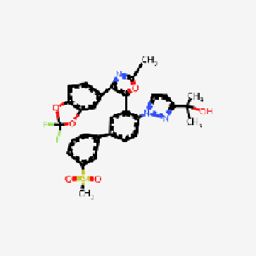 Cc1nc(-c2ccc3c(c2)OC(F)(F)O3)c(-c2cc(-c3cccc(S(C)(=O)=O)c3)ccc2-n2ccc(C(C)(C)O)n2)o1